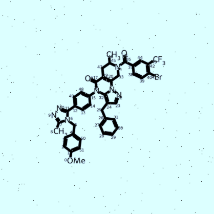 COc1ccc(Cn2c(C)nnc2-c2ccc(-n3c(=O)c4c(n5ncc(Cc6ccccc6)c35)CN(C(=O)c3ccc(Br)c(C(F)(F)F)c3)C(C)C4)cc2)cc1